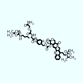 CC[C@@]1(OC(=O)OCc2ccc(NC(=O)[C@H](CCCCNC(=O)OC(C)(C)C)NC(=O)COCC(N)=O)cc2)C(=O)OCc2c1cc1n(c2=O)Cc2c-1nc1ccccc1c2CCN(C(C)C)S(C)(=O)=O